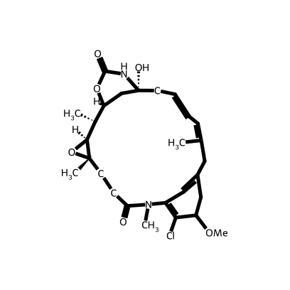 COC1CC2=CC(=C1Cl)N(C)C(=O)CC[C@]1(C)O[C@H]1[C@H](C)[C@@H]1C[C@](O)(C/C=C/C=C(\C)C2)NC(=O)O1